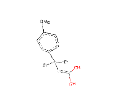 CCC(C=C(O)O)(CC)c1ccc(OC)cc1